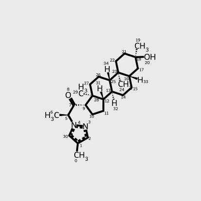 Cc1cnn([C@@H](C)C(=O)[C@H]2CC[C@H]3[C@@H]4CC[C@H]5C[C@](C)(O)CC[C@]5(C)[C@H]4CC[C@]23C)c1